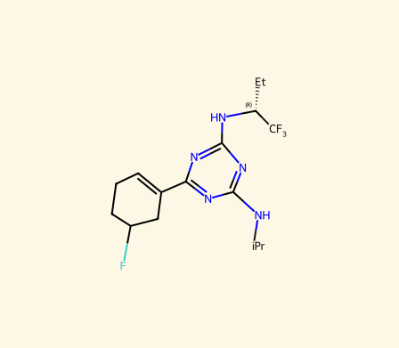 CC[C@@H](Nc1nc(NC(C)C)nc(C2=CCCC(F)C2)n1)C(F)(F)F